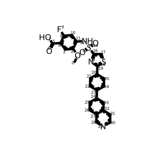 COc1cc(C(=O)O)c(F)cc1NS(=O)(=O)c1csc(-c2ccc(-c3ccc4cnccc4c3)cc2)n1